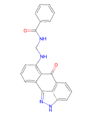 O=C(NCNc1cccc2c1C(=O)c1cccc3[nH]nc-2c13)c1ccccc1